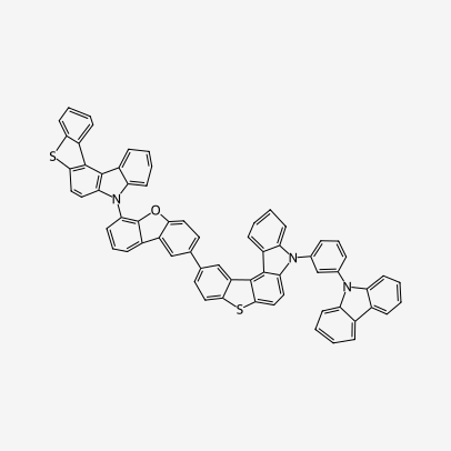 c1cc(-n2c3ccccc3c3ccccc32)cc(-n2c3ccccc3c3c4c(ccc32)sc2ccc(-c3ccc5oc6c(-n7c8ccccc8c8c9c(ccc87)sc7ccccc79)cccc6c5c3)cc24)c1